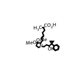 COC1(OC)CCN(CCC(O)C2(c3ccccc3)CC2)C1CC=CCCC(C)C(=O)O